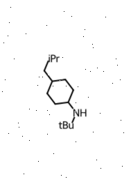 CC(C)CC1CCC(NC(C)(C)C)CC1